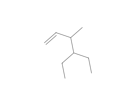 C=CC(C)C(CC)CC